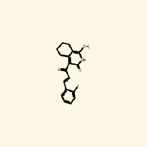 Cc1[nH]c(=O)c(C(=O)/C=C/c2ccccc2F)c2c1CCCC2